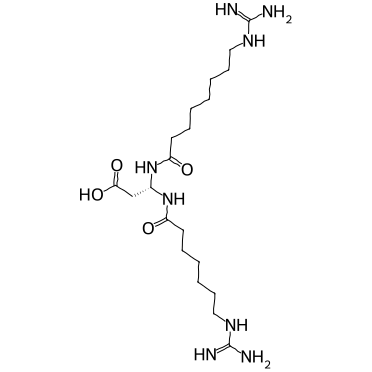 N=C(N)NCCCCCCCC(=O)N[C@@H](CC(=O)O)NC(=O)CCCCCCNC(=N)N